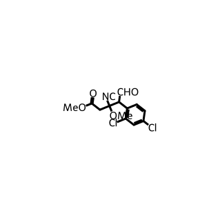 COC(=O)CC(C#N)(OC)C(C=O)c1ccc(Cl)cc1Cl